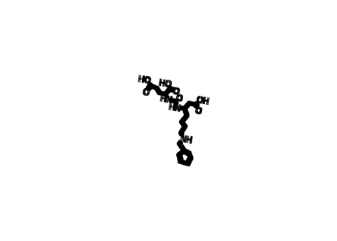 O=C(O)CCC(NC(=O)NC(CCCCNCc1ccccc1)CC(=O)O)C(=O)O